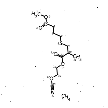 C.COS(=O)CCCSCC(C)C(=O)OCCOC#N